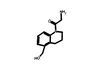 NCC(=O)N1CCCc2c(CO)cccc21